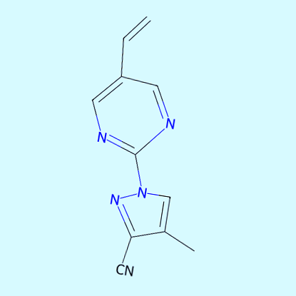 C=Cc1cnc(-n2cc(C)c(C#N)n2)nc1